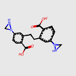 O=C(O)c1ccc(N2CN2)cc1CCc1cc(N2CN2)ccc1C(=O)O